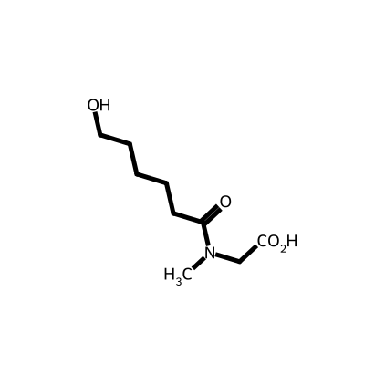 CN(CC(=O)O)C(=O)CCCCCO